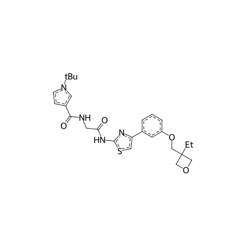 CCC1(COc2cccc(-c3csc(NC(=O)CNC(=O)c4ccn(C(C)(C)C)c4)n3)c2)COC1